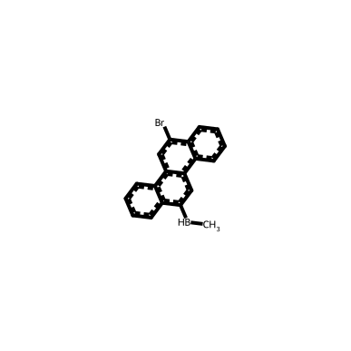 CBc1cc2c3ccccc3c(Br)cc2c2ccccc12